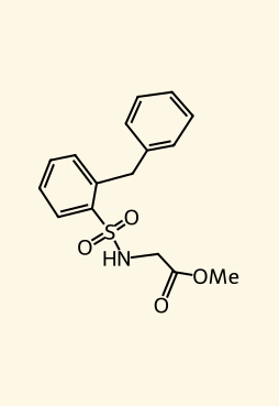 COC(=O)CNS(=O)(=O)c1ccccc1Cc1ccccc1